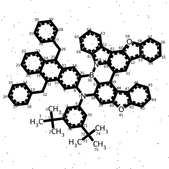 CC(C)(C)c1cc(N2c3cc4c(Cc5ccccc5)c5ccccc5c(Cc5ccccc5)c4cc3B3c4c2cc2oc5ccccc5c2c4-c2cc4c5ccccc5oc4c4c5ccccc5n3c24)cc(C(C)(C)C)c1